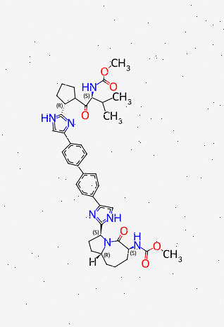 COC(=O)N[C@H]1CCC[C@@H]2CC[C@@H](c3nc(-c4ccc(-c5ccc(-c6c[nH]c([C@@H]7CCCC7C(=O)[C@@H](NC(=O)OC)C(C)C)n6)cc5)cc4)c[nH]3)N2C1=O